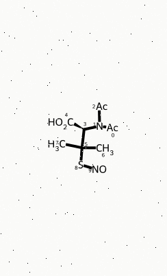 CC(=O)N(C(C)=O)[C@H](C(=O)O)C(C)(C)SN=O